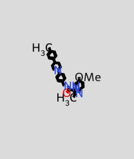 COc1ccc2nc(C)c(C(=O)NCc3ccc(N4CCC(c5ccc(C)cc5)CC4)cc3)n2c1